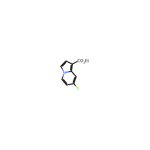 CCOC(=O)c1ccn2ccc(F)cc12